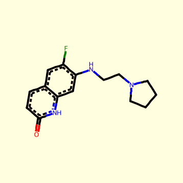 O=c1ccc2cc(F)c(NCCN3CCCC3)cc2[nH]1